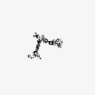 CC(Cn1cnnn1)Oc1cc(-c2cnc(Nc3cn(C4CC5(C4)CN(C4COC(C)(C)OC4)C5)nc3OCC(F)(F)F)nc2)ccc1Cl